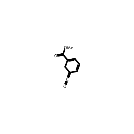 COC(=O)C1=CC=CC(=C=O)C1